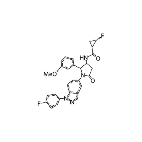 COc1cccc(C2[C@@H](NC(=O)[C@H]3C[C@H]3F)CC(=O)N2c2ccc3c(cnn3-c3ccc(F)cc3)c2)c1